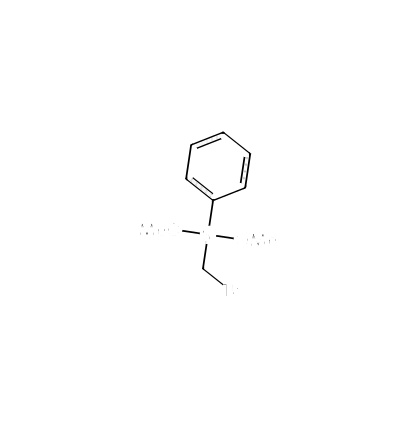 CO[Si](CBr)(OC)c1ccccc1